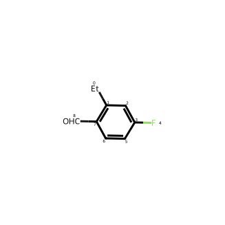 CCc1cc(F)ccc1C=O